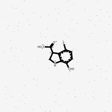 O=Cc1ccc(F)c2c1NCC2C(=O)C(=O)O